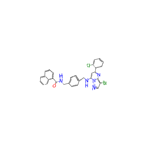 O=C(NCc1ccc(CNc2cc(-c3ccccc3Cl)nc3c(Br)cnn23)cc1)c1cccc2ccccc12